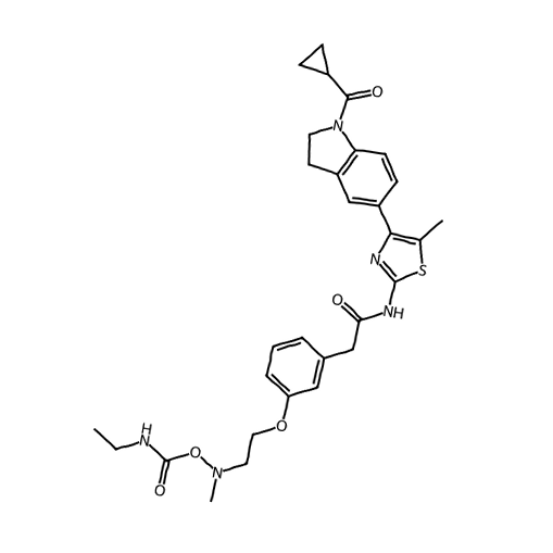 CCNC(=O)ON(C)CCOc1cccc(CC(=O)Nc2nc(-c3ccc4c(c3)CCN4C(=O)C3CC3)c(C)s2)c1